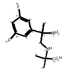 CC(C)(NCC(C)(N)c1cc(F)cc(F)c1)C(=O)O